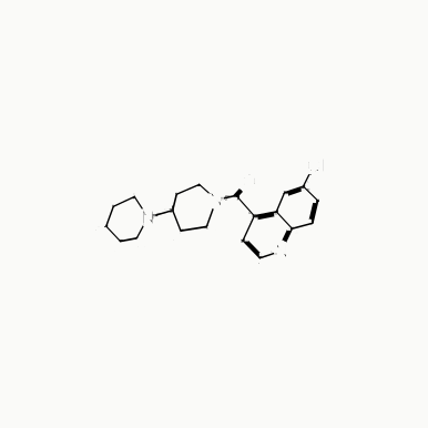 O=C(c1ccnc2ccc(O)cc12)N1CCC(N2CCCCC2)CC1